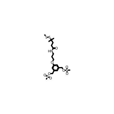 CSSC(C)(C)CCC(=O)NCCCOc1cc(COS(C)(=O)=O)cc(COS(C)(=O)=O)c1